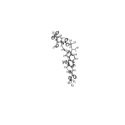 CCCn1c(C#CCN(C(=O)OC(C)(C)C)c2ccc(S(C)(=O)=O)cc2OC)cc2c(N[C@H]3CCN(C(=O)OC(C)(C)C)C[C@@H]3F)cccc21